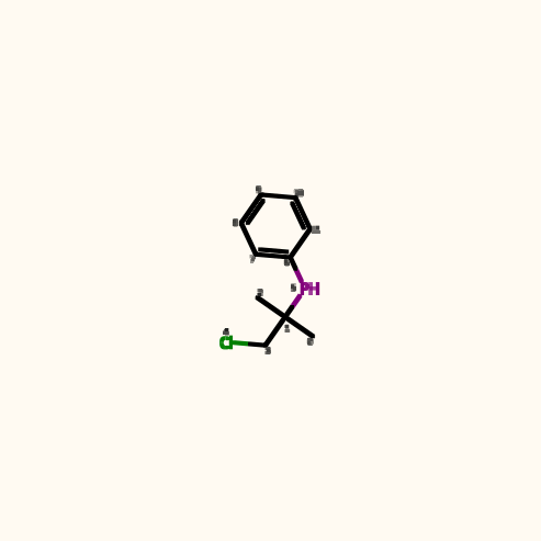 CC(C)(CCl)Pc1ccccc1